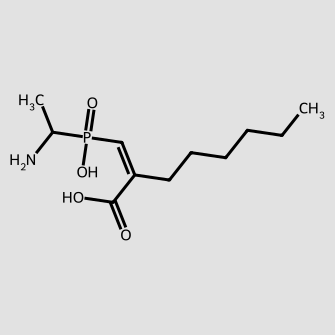 CCCCCCC(=CP(=O)(O)C(C)N)C(=O)O